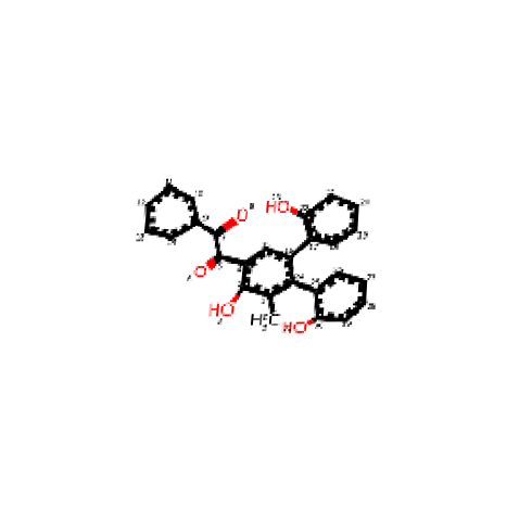 Cc1c(O)c(C(=O)C(=O)c2ccccc2)cc(-c2ccccc2O)c1-c1ccccc1O